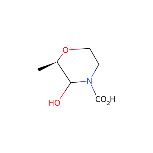 C[C@H]1OCCN(C(=O)O)C1O